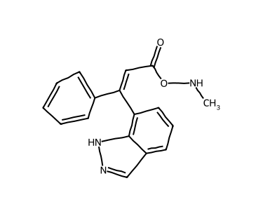 CNOC(=O)/C=C(/c1ccccc1)c1cccc2cn[nH]c12